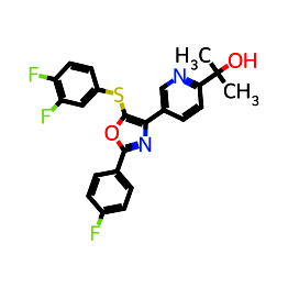 CC(C)(O)c1ccc(-c2nc(-c3ccc(F)cc3)oc2Sc2ccc(F)c(F)c2)cn1